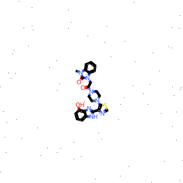 Cn1c(=O)n(CC(=O)N2CCN(c3scnc3-c3nc4c(O)cccc4[nH]3)CC2)c2ccccc21